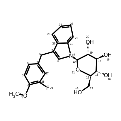 COc1ccc(Cc2cn([C@@H]3O[C@H](CO)[C@@H](O)[C@H](O)[C@H]3O)c3ccccc23)cc1F